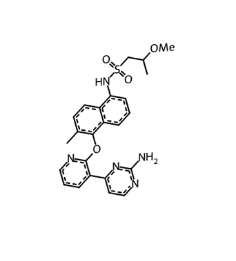 COC(C)CS(=O)(=O)Nc1cccc2c(Oc3ncccc3-c3ccnc(N)n3)c(C)ccc12